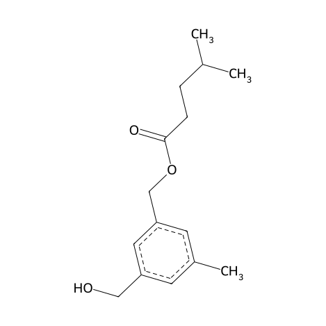 Cc1cc(CO)cc(COC(=O)CCC(C)C)c1